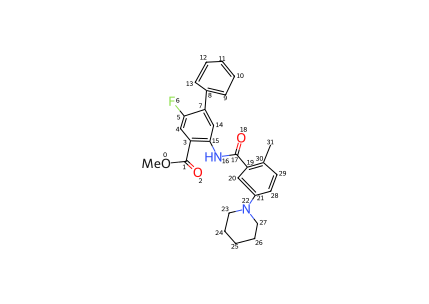 COC(=O)c1cc(F)c(-c2ccccc2)cc1NC(=O)c1cc(N2CCCCC2)ccc1C